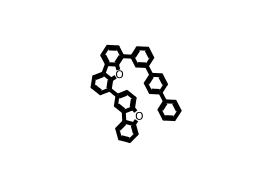 c1ccc(-c2ccc(-c3cccc(-c4cccc5c4oc4c(-c6ccc7oc8ccccc8c7c6)cccc45)c3)cc2)cc1